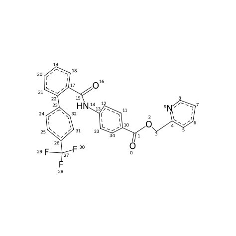 O=C(OCc1ccccn1)c1ccc(NC(=O)c2ccccc2-c2ccc(C(F)(F)F)cc2)cc1